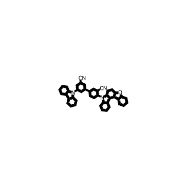 N#Cc1cc(-c2ccc(-n3c4ccccc4c4c5c(ccc43)oc3ccccc35)c(C#N)c2)cc(-n2c3ccccc3c3ccccc32)c1